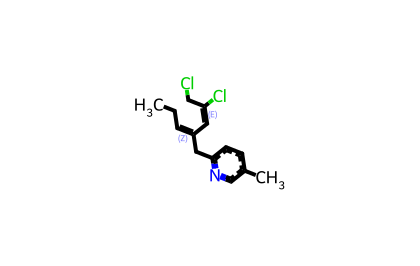 CC/C=C(\C=C(\Cl)CCl)Cc1ccc(C)cn1